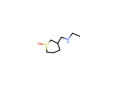 CCNCC1CCC[S+]([O-])C1